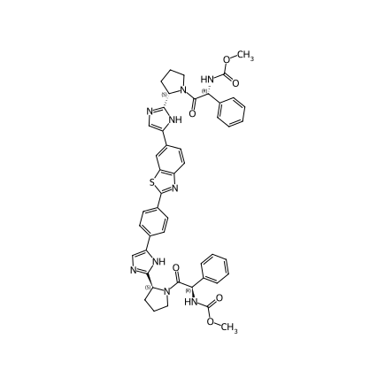 COC(=O)N[C@@H](C(=O)N1CCC[C@H]1c1ncc(-c2ccc(-c3nc4ccc(-c5cnc([C@@H]6CCCN6C(=O)[C@H](NC(=O)OC)c6ccccc6)[nH]5)cc4s3)cc2)[nH]1)c1ccccc1